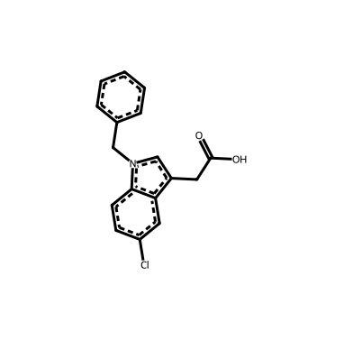 O=C(O)Cc1cn(Cc2ccccc2)c2ccc(Cl)cc12